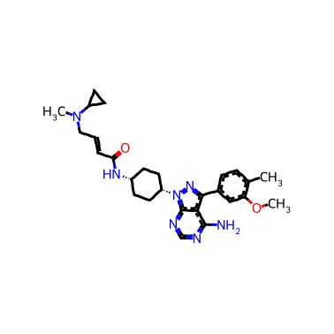 COc1cc(-c2nn([C@H]3CC[C@@H](NC(=O)/C=C/CN(C)C4CC4)CC3)c3ncnc(N)c23)ccc1C